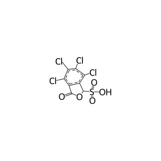 O=C1OC(S(=O)(=O)O)c2c(Cl)c(Cl)c(Cl)c(Cl)c21